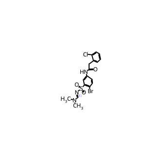 CN(C)/C=N/S(=O)(=O)c1cc(NC(=O)Cc2ccccc2Cl)ccc1Br